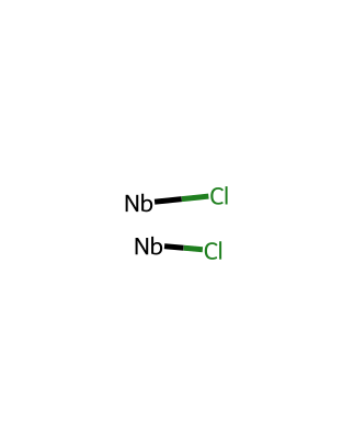 [Cl][Nb].[Cl][Nb]